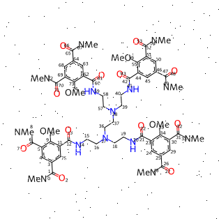 CNC(=O)c1cc(C(=O)NC)c(OC)c(C(=O)NCCN(CCNC(=O)c2cc(C(=O)NC)cc(C(=O)NC)c2OC)CCN(CCNC(=O)c2cc(C(=O)NC)cc(C(=O)NC)c2OC)CCNC(=O)c2cc(C(=O)NC)cc(C(=O)NC)c2OC)c1